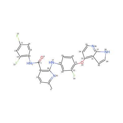 Cc1ccc(C(=O)Nc2ccc(F)cc2F)c(Nc2ccc(Oc3ccnc4[nH]ccc34)c(F)c2)n1